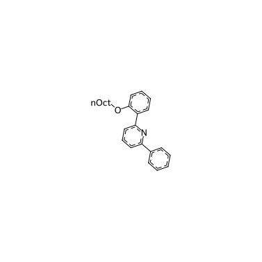 CCCCCCCCOc1ccccc1-c1cccc(-c2ccccc2)n1